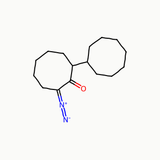 [N-]=[N+]=C1CCCCCC(C2CCCCCCC2)C1=O